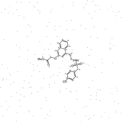 COC(=O)CSc1cc(OCNS(=O)(=O)Cc2ccc(Cl)cc2)c2ccccc2c1